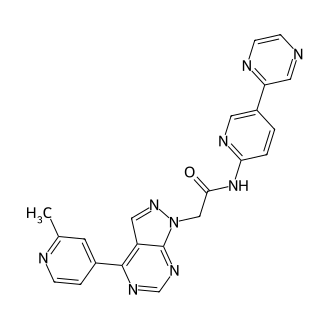 Cc1cc(-c2ncnc3c2cnn3CC(=O)Nc2ccc(-c3cnccn3)cn2)ccn1